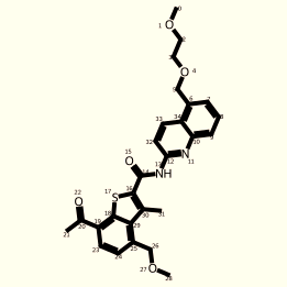 COCCOCc1cccc2nc(NC(=O)c3sc4c(C(C)=O)ccc(COC)c4c3C)ccc12